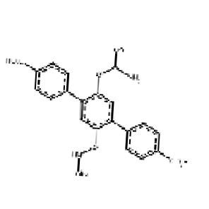 CCCCNOc1cc(-c2ccc(C(=O)O)cc2)c(OC(N)CCC)cc1-c1ccc(C(=O)O)cc1